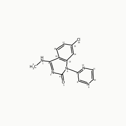 CNc1nc(=O)n(-c2cnccn2)c2cc(Cl)ccc12